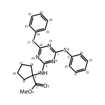 COC(=O)C1(Nc2nc(Sc3ccccc3)nc(Sc3ccccc3)n2)CCCC1